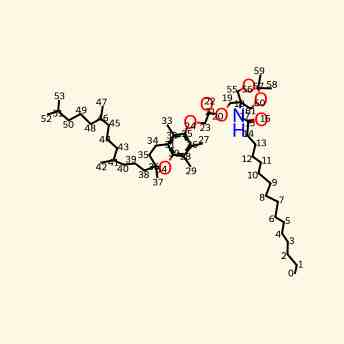 CCCCCCCCCCCCCCCC(=O)NC1(COC(=O)COc2c(C)c(C)c3c(c2C)CCC(C)(CCCC(C)CCCC(C)CCCC(C)C)O3)COC(C)(C)OC1